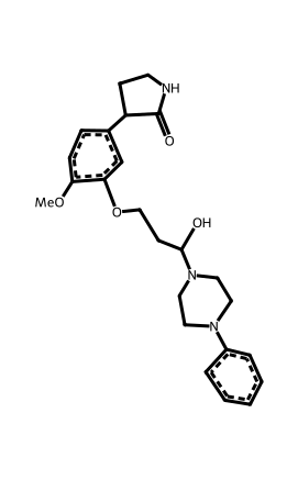 COc1ccc(C2CCNC2=O)cc1OCCC(O)N1CCN(c2ccccc2)CC1